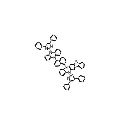 c1ccc(-c2cc(-c3ccccc3)nc(N3c4ccccc4N(c4cccc5c(N6c7ccccc7N(c7nc(-c8ccccc8)cc(-c8ccccc8)n7)c7cc8c(cc76)sc6ccccc68)cccc45)c4ccccc43)n2)cc1